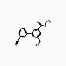 COC(=O)c1cc(CO)cc(-c2cccc(C#N)c2)c1